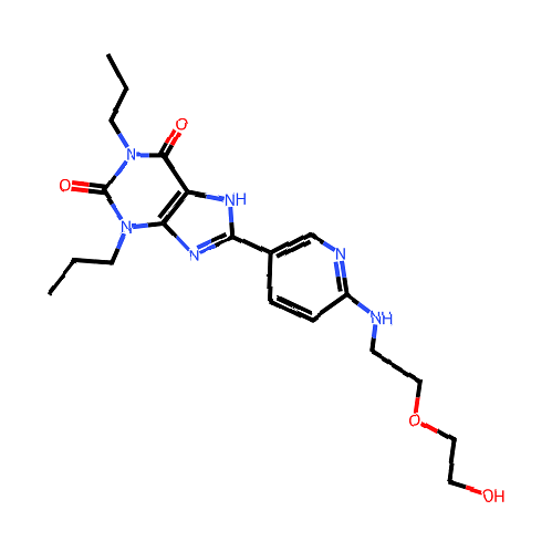 CCCn1c(=O)c2[nH]c(-c3ccc(NCCOCCO)nc3)nc2n(CCC)c1=O